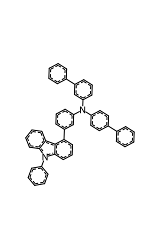 c1ccc(-c2ccc(N(c3cccc(-c4ccccc4)c3)c3cccc(-c4cccc5c4c4ccccc4n5-c4ccccc4)c3)cc2)cc1